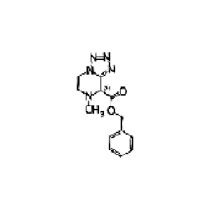 CN1CCn2nnnc2[C@H]1C(=O)OCc1ccccc1